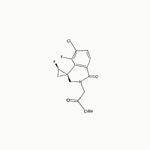 COC(=O)CN1C[C@]2(C[C@H]2F)c2c(ccc(Cl)c2F)C1=O